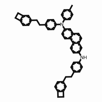 Cc1ccc(N(c2ccc(CCc3ccc4c(c3)CC4)cc2)c2ccc3c(ccc4cc(Nc5ccc(CCc6ccc7c(c6)CC7)cc5)ccc43)c2)cc1